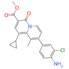 COC(=O)c1cc(C2CC2)c2c(C)c(-c3ccc(N)c(Cl)c3)ccn2c1=O